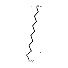 CCCCCCCCCCCCCCCCCOOS(=O)(=O)O